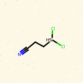 N#CCC[SiH](Cl)Cl